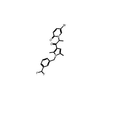 Cc1cc(C(=O)C(C)n2cc(Br)ccc2=O)c(C)n1Cc1cccc(C(F)F)c1